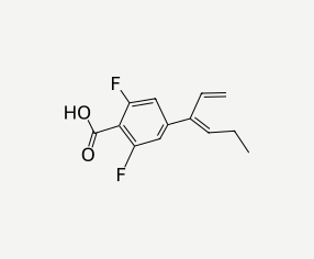 C=C/C(=C\CC)c1cc(F)c(C(=O)O)c(F)c1